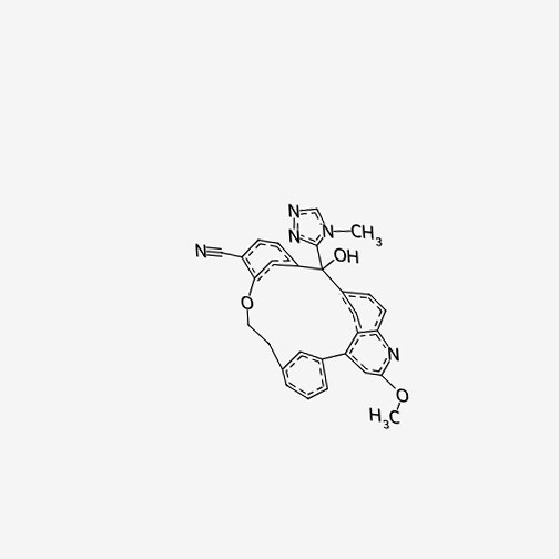 COc1cc2c3cc(ccc3n1)C(O)(c1nncn1C)c1ccc(C#N)c(c1)OCCc1cccc-2c1